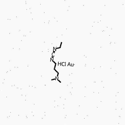 CCN=C=NCCCN(C)C.Cl.[Au]